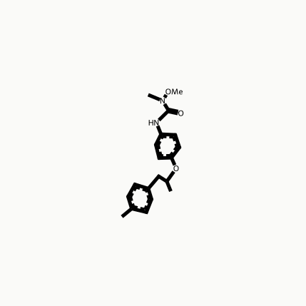 CON(C)C(=O)Nc1ccc(OC(C)Cc2ccc(C)cc2)cc1